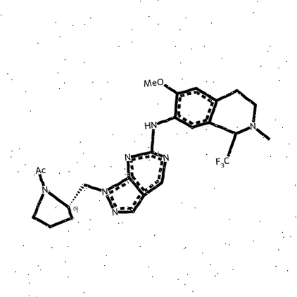 COc1cc2c(cc1Nc1ncc3cnn(C[C@@H]4CCCN4C(C)=O)c3n1)C(C(F)(F)F)N(C)CC2